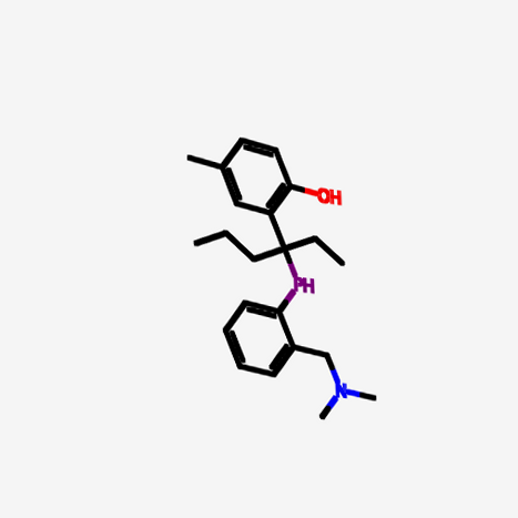 CCCC(CC)(Pc1ccccc1CN(C)C)c1cc(C)ccc1O